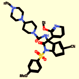 CCCN1CCN(C2CCN(C(=O)NC3(c4cccnc4OCC)C(=O)N(S(=O)(=O)c4ccc(OC)cc4)c4ccc(C#N)cc43)CC2)CC1